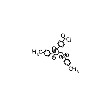 Cc1ccc(S(=O)(=O)CC(CS(=O)(=O)c2ccc(C)cc2)C(=O)c2ccc(C(=O)Cl)cc2)cc1